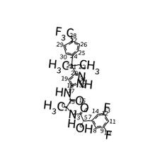 C[C@H](NC(=O)[C@@H](O)c1cc(F)cc(F)c1)C(=O)Nc1cc(C(C)(C)c2ccc(C(F)(F)F)cc2)n[nH]1